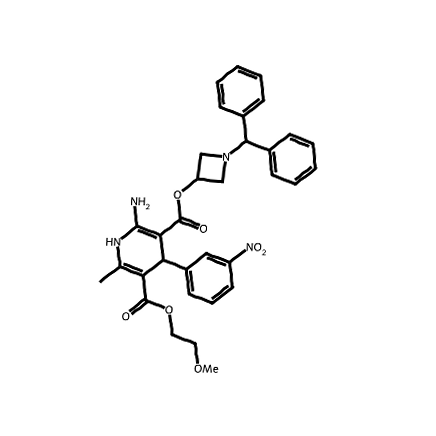 COCCOC(=O)C1=C(C)NC(N)=C(C(=O)OC2CN(C(c3ccccc3)c3ccccc3)C2)C1c1cccc([N+](=O)[O-])c1